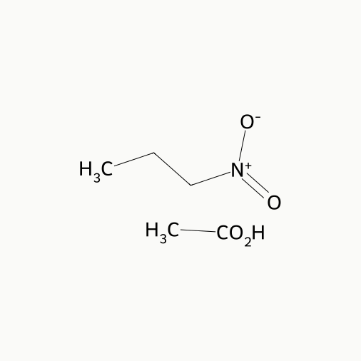 CC(=O)O.CCC[N+](=O)[O-]